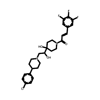 O=C(C=Cc1cc(F)c(F)c(F)c1)N1CCC(O)(C(O)CN2CCC(c3ccc(Cl)cc3)CC2)CC1